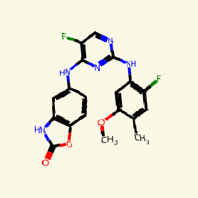 COc1cc(Nc2ncc(F)c(Nc3ccc4oc(=O)[nH]c4c3)n2)c(F)cc1C